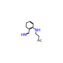 CC(=O)CCNC1=C(C=N)CCC=C1